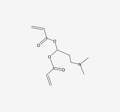 C=CC(=O)OC(CCN(C)C)OC(=O)C=C